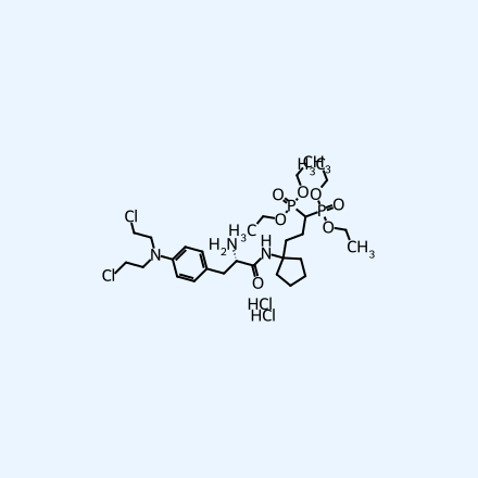 CCOP(=O)(OCC)C(CCC1(NC(=O)[C@@H](N)Cc2ccc(N(CCCl)CCCl)cc2)CCCC1)P(=O)(OCC)OCC.Cl.Cl